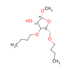 CCCCOC[C@H]1O[C@@H](OC)[C@@H](O)C1OCCCC